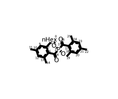 CCCCCCOP(=O)(C(=O)c1c(C)cc(C)cc1C)C(=O)c1c(C)cc(C)cc1C